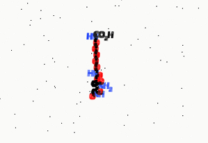 NC(=O)c1c(CC2CCC(=O)NC2=O)cccc1OCC(=O)NCCOCCOCCOCCOCCOCCNC(=O)O